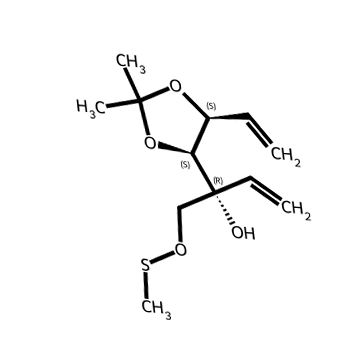 C=C[C@@H]1OC(C)(C)O[C@@H]1[C@@](O)(C=C)COSC